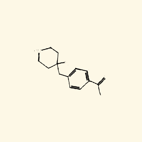 C=C(C)c1ccc(CC2(N)CCNCC2)cc1